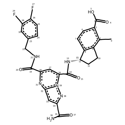 Cc1c(C(=O)O)ccc2c1CC[C@@H]2NC(=O)c1cc(C(=O)NCc2ccc(F)c(F)c2)nc2cc(C(N)=O)nn12